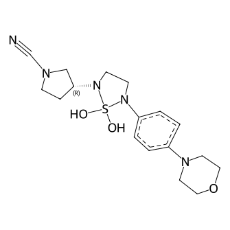 N#CN1CC[C@@H](N2CCN(c3ccc(N4CCOCC4)cc3)S2(O)O)C1